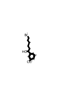 OC(CCCCCBr)c1cccc(Cl)c1